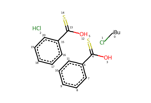 CCC(C)Cl.Cl.OC(=S)c1ccccc1.OC(=S)c1ccccc1